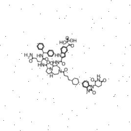 Cn1c(=O)n(C2CCC(=O)NC2=O)c2ccc([C@H]3CC[C@H](CCCC(=O)N4CC[C@H]5CC[C@@H](C(=O)N[C@@H](CCC(N)=O)C(=O)NC(c6ccccc6)c6ccccc6)N5C(=O)[C@@H](NC(=O)c5cc6cc(C(=O)P(=O)(O)O)ccc6[nH]5)C4)CC3)cc21